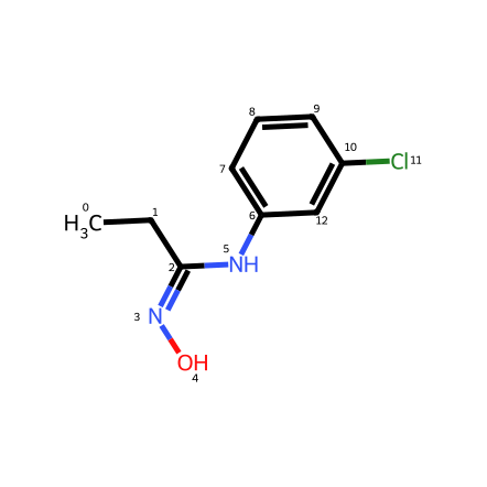 CC/C(=N/O)Nc1cccc(Cl)c1